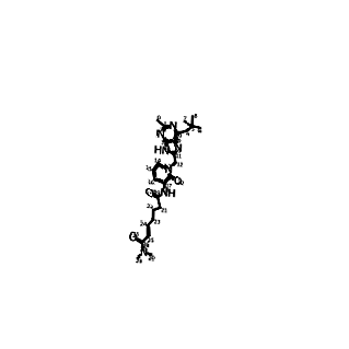 Cc1nc(CC(C)(C)C)c2nc(Cn3cccc(NC(=O)CCC/C=C/C(=O)N(C)C)c3=O)[nH]c2n1